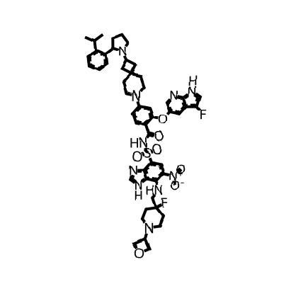 CC(C)c1ccccc1C1CCCN1C1CC2(CCN(c3ccc(C(=O)NS(=O)(=O)c4cc([N+](=O)[O-])c(NCC5(F)CCN(C6COC6)CC5)c5[nH]cnc45)c(Oc4cnc5[nH]cc(F)c5c4)c3)CC2)C1